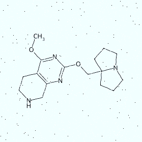 COc1nc(OCC23CCCN2CCC3)nc2c1CCNC2